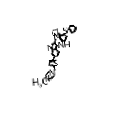 CN1CCN(Cc2ccc(-c3ccc4c(Nc5ccc(Sc6ccccc6)c(Cl)c5)c(C#N)cnc4c3)s2)CC1